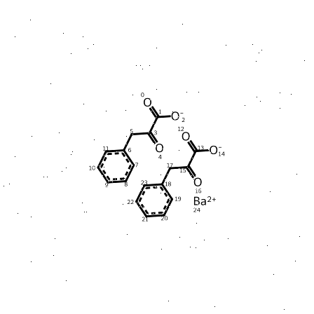 O=C([O-])C(=O)Cc1ccccc1.O=C([O-])C(=O)Cc1ccccc1.[Ba+2]